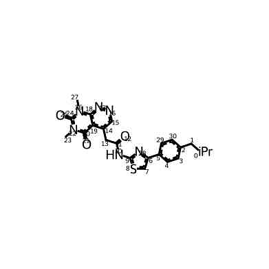 CC(C)Cc1ccc(-c2csc(NC(=O)Cc3cnnc4c3c(=O)n(C)c(=O)n4C)n2)cc1